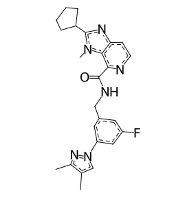 Cc1cn(-c2cc(F)cc(CNC(=O)c3nccc4nc(C5CCCC5)n(C)c34)c2)nc1C